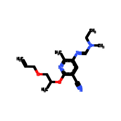 C=CCOCC(C)Oc1nc(C)c(N=CN(C)CC)cc1C#N